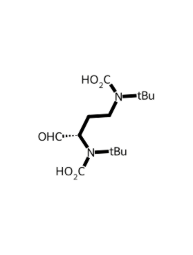 CC(C)(C)N(CC[C@@H](C=O)N(C(=O)O)C(C)(C)C)C(=O)O